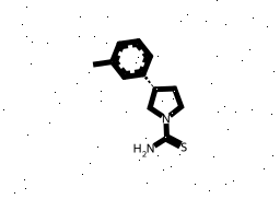 Cc1cccc([C@@H]2CCN(C(N)=S)C2)c1